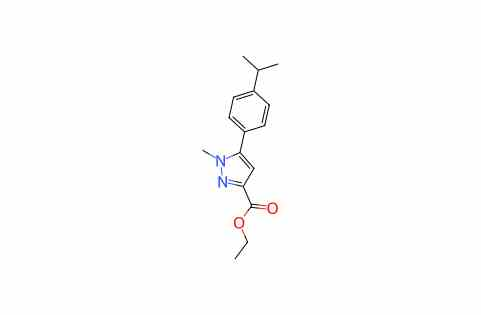 CCOC(=O)c1cc(-c2ccc(C(C)C)cc2)n(C)n1